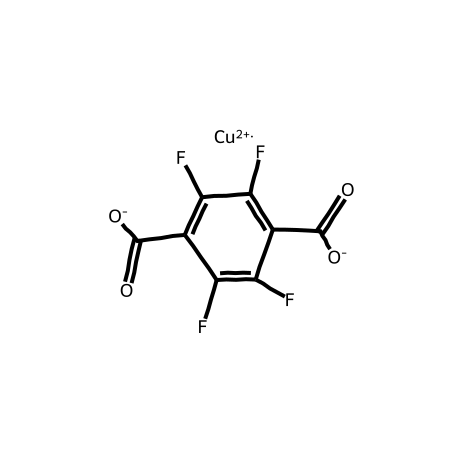 O=C([O-])c1c(F)c(F)c(C(=O)[O-])c(F)c1F.[Cu+2]